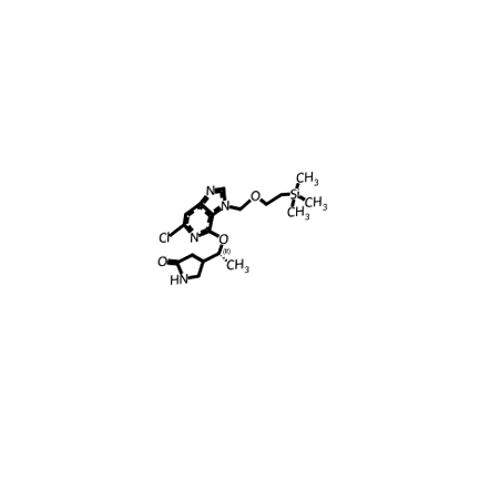 C[C@@H](Oc1nc(Cl)cc2ncn(COCC[Si](C)(C)C)c12)C1CNC(=O)C1